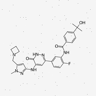 Cn1nc(Nc2cc(-c3ccc(F)c(NC(=O)c4ccc(C(C)(C)O)cc4)c3)n[nH]c2=O)cc1CN1CCC1